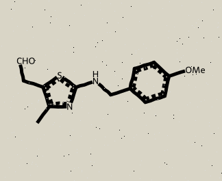 COc1ccc(CNc2nc(C)c(CC=O)s2)cc1